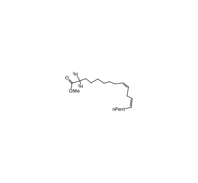 [2H]C([2H])(CCCCCC/C=C\C/C=C\CCCCC)C(=O)OC